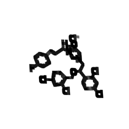 Fc1ccc(C=CC[n+]2ccn(CC(OCc3ccc(Cl)cc3Cl)c3ccc(Cl)cc3Cl)c2)cc1.O.[Cl-]